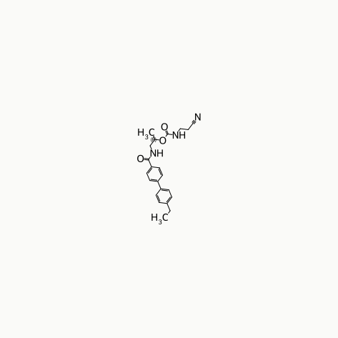 CCc1ccc(-c2ccc(C(=O)NC[C@@H](C)OC(=O)NCCC#N)cc2)cc1